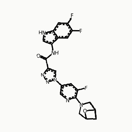 O=C(Nc1c[nH]c2cc(F)c(F)cc12)c1cn(-c2cnc(N3CC4CC(C3)O4)c(F)c2)nn1